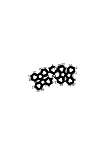 c1cncc(N(c2ccc3c(c2)C2(c4ccccc4-c4ccccc42)c2ccccc2-3)c2cccc3c2-c2ccccc2C32c3ccccc3-c3ccccc32)c1